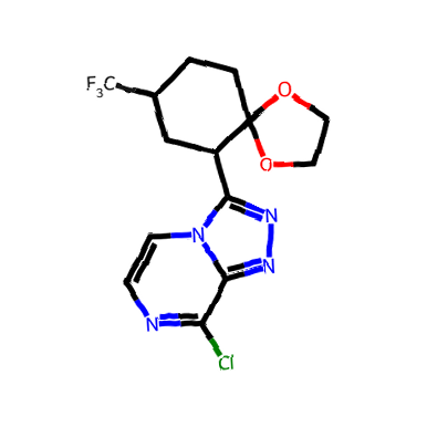 FC(F)(F)C1CCC2(OCCO2)C(c2nnc3c(Cl)nccn23)C1